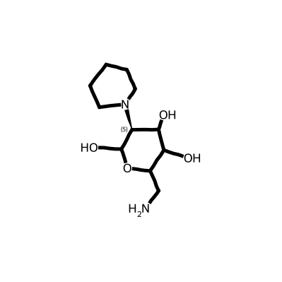 NCC1OC(O)[C@@H](N2CCCCC2)C(O)C1O